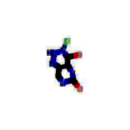 O=c1ncc2n[nH]n(Cl)c(=O)c-2n1